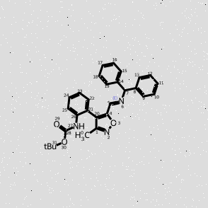 Cc1noc(/C=N/C(c2ccccc2)c2ccccc2)c1-c1ccccc1NC(=O)OC(C)(C)C